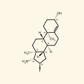 C[C@]12CC[C@H]3[C@@H](CCC4=C[C@@H](O)CC[C@@]43C)[C@@H]1C[C@@H](F)[C@@H]2N